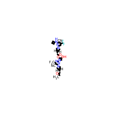 C=CC(=O)C[C@@H]1[C@H]2CN(c3nc(N4C[C@@H](O)[C@@H]4OC(=O)C[C@@H]4[C@H]5CN(c6cc(C(F)F)c(C#N)c(NC7CCC7)n6)C[C@@H]45)nc(C(F)(F)F)c3C#N)C[C@@H]12